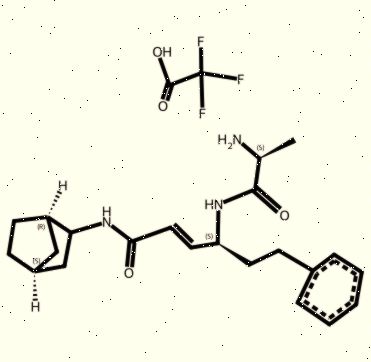 C[C@H](N)C(=O)N[C@H](C=CC(=O)NC1C[C@H]2CC[C@@H]1C2)CCc1ccccc1.O=C(O)C(F)(F)F